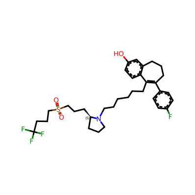 O=S(=O)(CCC[C@@H]1CCCN1CCCCCCC1=C(c2ccc(F)cc2)CCCc2cc(O)ccc21)CCCC(F)(F)F